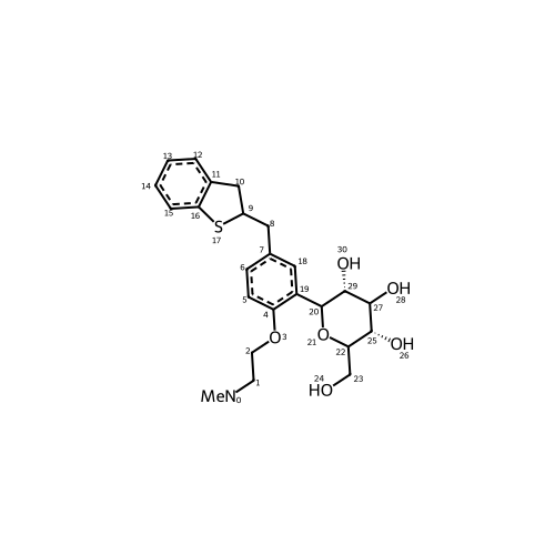 CNCCOc1ccc(CC2Cc3ccccc3S2)cc1C1OC(CO)[C@@H](O)C(O)[C@H]1O